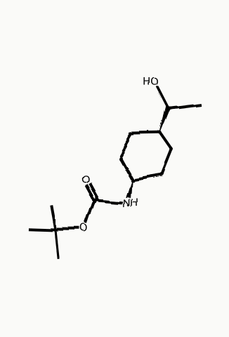 CC(O)[C@H]1CC[C@@H](NC(=O)OC(C)(C)C)CC1